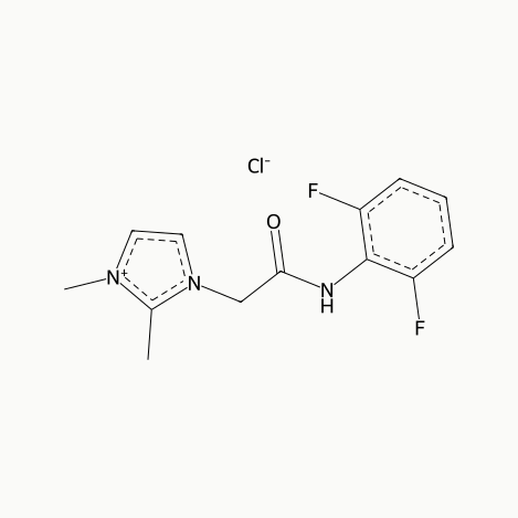 Cc1n(CC(=O)Nc2c(F)cccc2F)cc[n+]1C.[Cl-]